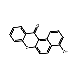 O=c1c2ccccc2oc2ccc3c(O)cccc3c12